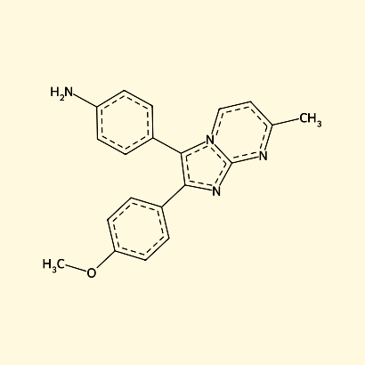 COc1ccc(-c2nc3nc(C)ccn3c2-c2ccc(N)cc2)cc1